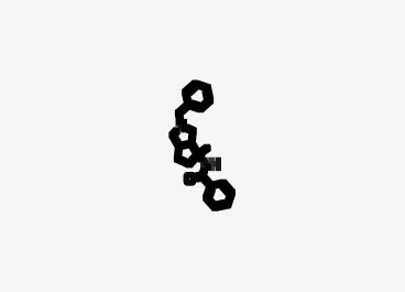 CC1(NC(=O)c2ccccc2)CCC2CN(Cc3ccccc3)CC21